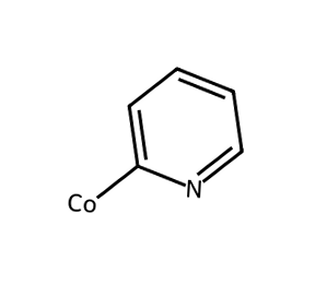 [Co][c]1ccccn1